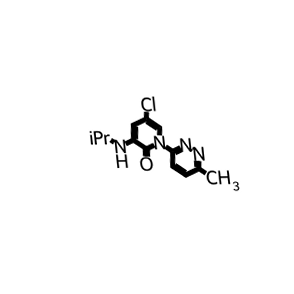 Cc1ccc(-n2cc(Cl)cc(NC(C)C)c2=O)nn1